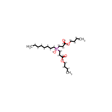 CCCCCCCCP(=O)(CCC(=O)OCCCC)CCC(=O)OCCCC